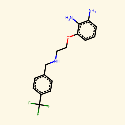 Nc1cccc(OCCNCc2ccc(C(F)(F)F)cc2)c1N